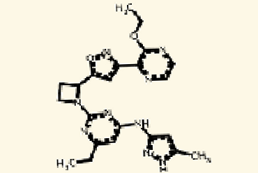 CCOc1nccnc1-c1cc(C2CCN2c2nc(CC)cc(Nc3cc(C)[nH]n3)n2)on1